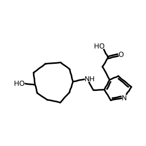 O=C(O)Cc1ccncc1CNC1CCCCC(O)CCCC1